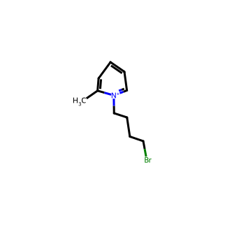 Cc1cccc[n+]1CCCCBr